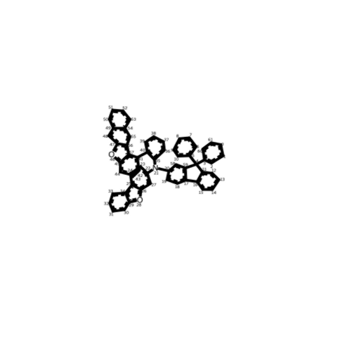 c1ccc(C2(c3ccccc3)c3ccccc3-c3ccc(N(c4ccc5c(c4)oc4ccccc45)c4ccccc4-c4cccc5oc6cc7ccccc7cc6c45)cc32)cc1